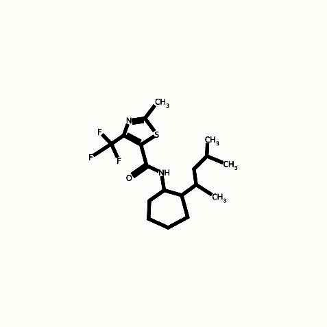 Cc1nc(C(F)(F)F)c(C(=O)NC2CCCCC2C(C)CC(C)C)s1